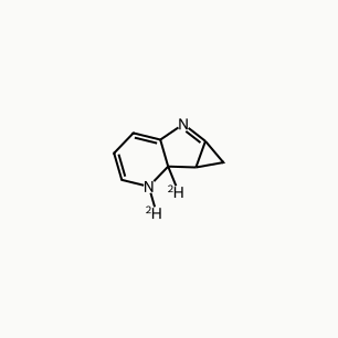 [2H]N1C=CC=C2N=C3CC3C21[2H]